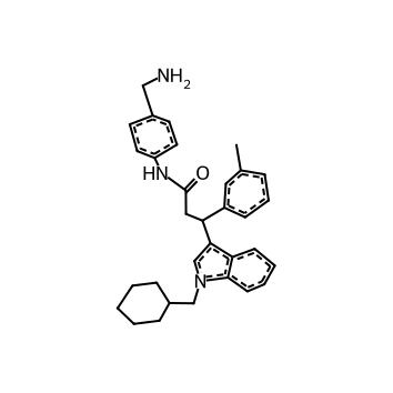 Cc1cccc(C(CC(=O)Nc2ccc(CN)cc2)c2cn(CC3CCCCC3)c3ccccc23)c1